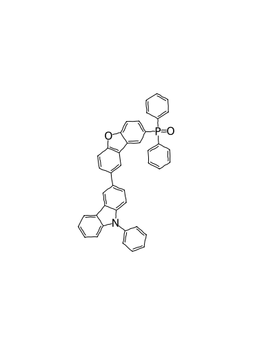 O=P(c1ccccc1)(c1ccccc1)c1ccc2oc3ccc(-c4ccc5c(c4)c4ccccc4n5-c4ccccc4)cc3c2c1